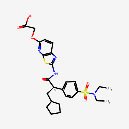 CCN(CC)S(=O)(=O)c1ccc([C@@H](CC2CCCC2)C(=O)Nc2nc3ccc(OCC(=O)O)nc3s2)cc1